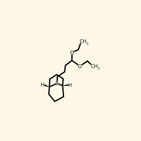 CCOC(CCCB1[C@H]2CCC[C@@H]1CCC2)OCC